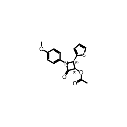 COc1ccc(N2C(=O)[C@H](OC(C)=O)[C@@H]2c2cccs2)cc1